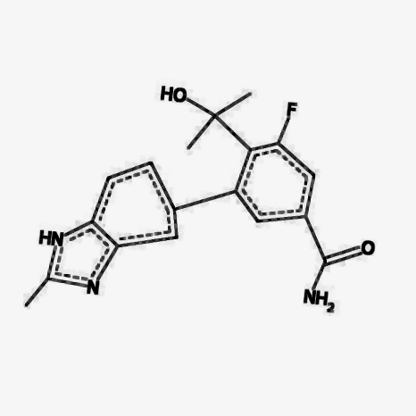 Cc1nc2cc(-c3cc(C(N)=O)cc(F)c3C(C)(C)O)ccc2[nH]1